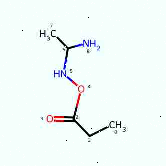 CCC(=O)ONC(C)N